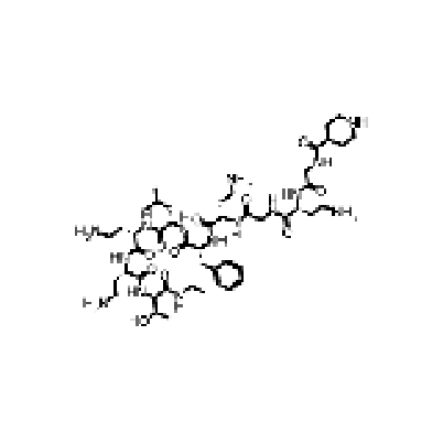 CCNC(=O)C(NC(=O)[C@H](CCN)NC(=O)[C@H](CCN)NC(=O)[C@H](CC(C)C)NC(=O)[C@@H](Cc1ccccc1)NC(=O)[C@H](CCN)NC(=O)CNC(=O)[C@H](CCN)NC(=O)CNC(=O)C1CCNCC1)C(C)O